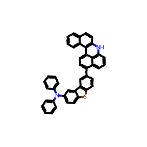 c1ccc(N(c2ccccc2)c2ccc3sc4ccc(-c5ccc6c7c(cccc57)Nc5ccc7ccccc7c5-6)cc4c3c2)cc1